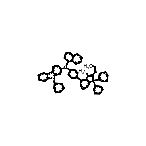 C/C=C\C1=C(C)c2c(-c3ccc(N(c4ccc5c6ccccc6n(-c6ccccc6)c5c4)c4cccc5ccccc45)cc3)cccc2C1(c1ccccc1)c1ccccc1